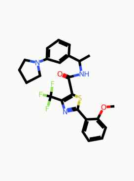 COc1ccccc1-c1nc(C(F)(F)F)c(C(=O)NC(C)c2cccc(N3CCCC3)c2)s1